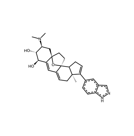 CN(C)[C@H]1C[C@@]23CC[C@@]4(O2)C(=CC[C@]2(C)C(c5ccc6[nH]ncc6c5)=CCC24)C=C3[C@@H](O)[C@@H]1O